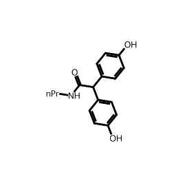 CCCNC(=O)C(c1ccc(O)cc1)c1ccc(O)cc1